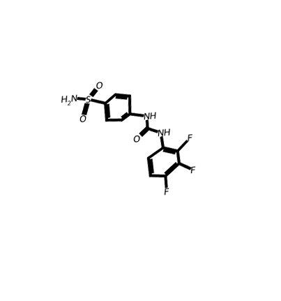 NS(=O)(=O)c1ccc(NC(=O)Nc2ccc(F)c(F)c2F)cc1